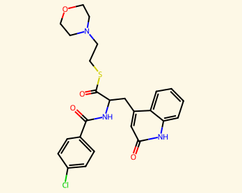 O=C(NC(Cc1cc(=O)[nH]c2ccccc12)C(=O)SCCN1CCOCC1)c1ccc(Cl)cc1